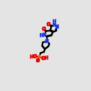 O=c1[nH]ncc2cc(N3CCC(CCP(=O)(O)O)CC3)[nH]c(=O)c12